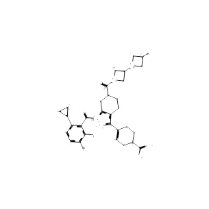 O=C(O)C1CC=C(c2nn(C(=O)c3c(C4CC4)ccc(F)c3Cl)c3c2CCC(C(=O)N2CC(N4CC(F)C4)C2)C3)CC1